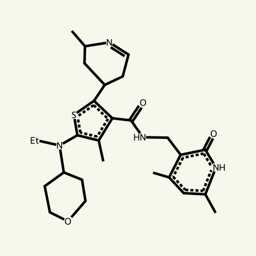 CCN(c1sc(C2CC=NC(C)C2)c(C(=O)NCc2c(C)cc(C)[nH]c2=O)c1C)C1CCOCC1